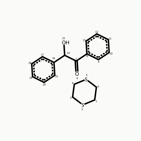 C1CSCCS1.O=C(c1ccccc1)C(O)c1ccccc1